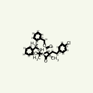 C[C@@H](NC(C)(O)N1C(=O)[C@](C)(CCc2ccc(Cl)cc2)[C@H]1C(=O)OCc1ccccc1)c1ccccc1